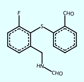 O=CNCc1cccc(F)c1Sc1ccccc1C=O